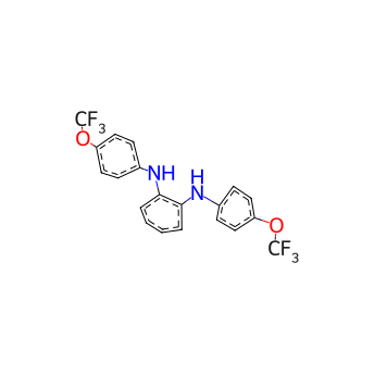 FC(F)(F)Oc1ccc(Nc2ccccc2Nc2ccc(OC(F)(F)F)cc2)cc1